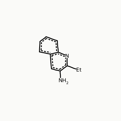 CCc1nc2ccccc2cc1N